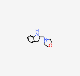 c1ccc2c(c1)CC(CN1CCOCC1)N2